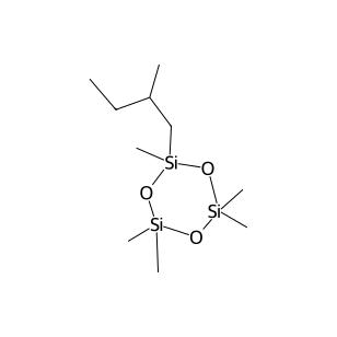 CCC(C)C[Si]1(C)O[Si](C)(C)O[Si](C)(C)O1